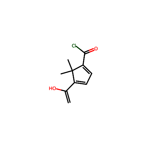 C=C(O)C1=CC=C(C(=O)Cl)C1(C)C